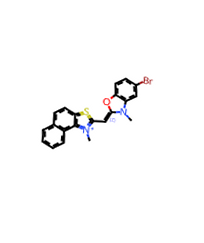 CN1/C(=C/c2sc3ccc4ccccc4c3[n+]2C)Oc2ccc(Br)cc21